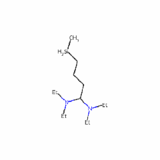 CCN(CC)C(CCC[SiH2]C)N(CC)CC